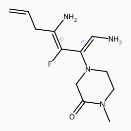 C=CC/C(N)=C(F)/C(=C/N)N1CCN(C)C(=O)C1